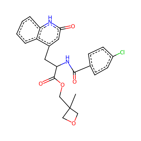 CC1(COC(=O)C(Cc2cc(=O)[nH]c3ccccc23)NC(=O)c2ccc(Cl)cc2)COC1